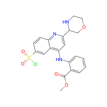 COC(=O)c1ccccc1Nc1cc(C2COCCN2)nc2ccc(S(=O)(=O)Cl)cc12